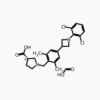 Cc1cc(C2CN(c3c(Cl)cccc3Cl)C2)cc(C)c1CN1CC[C@@H](C(=O)O)C1.O=CO